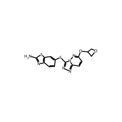 Nc1nc2ccc(Sc3nnc4ccc(OC5COC5)nn34)cc2s1